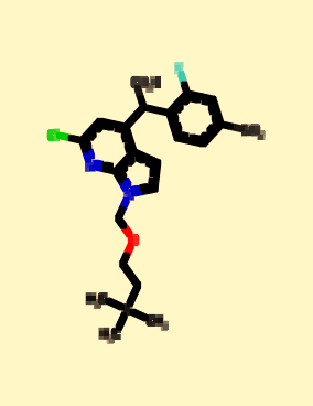 C[Si](C)(C)CCOCn1ccc2c(C(C(=O)O)c3ccc([N+](=O)[O-])cc3F)cc(Cl)nc21